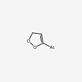 CC(=O)C1=CCOO1